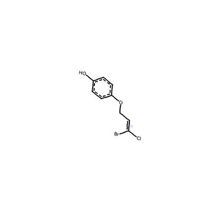 Oc1ccc(OC/C=C(/Cl)Br)cc1